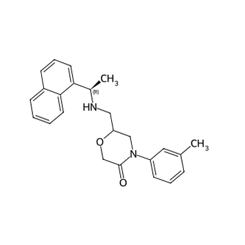 Cc1cccc(N2CC(CN[C@H](C)c3cccc4ccccc34)OCC2=O)c1